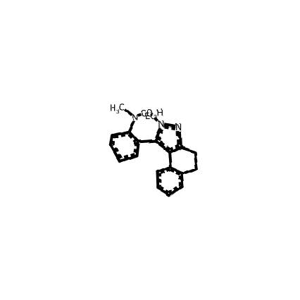 CCn1nc2c(c1-c1ccccc1N(C)C(=O)O)-c1ccccc1CC2